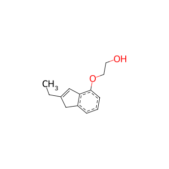 CCC1=Cc2c(cccc2OCCO)C1